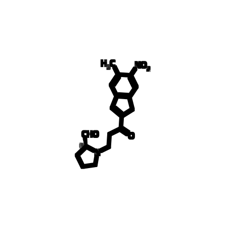 Cc1cc2c(cc1[N+](=O)[O-])CC(C(=O)CCN1CCC[C@H]1C=O)=C2